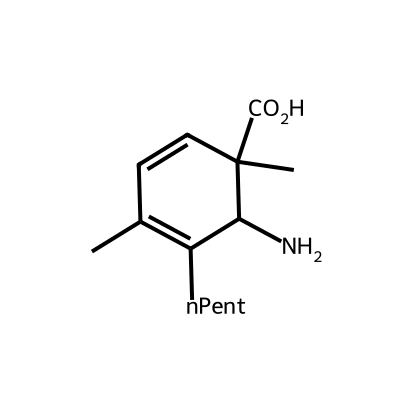 CCCCCC1=C(C)C=CC(C)(C(=O)O)C1N